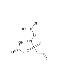 C=CCS(=O)(=O)NOB(O)O.CC(=O)O